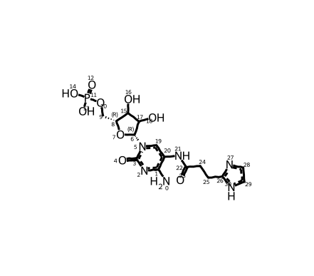 Nc1nc(=O)n([C@@H]2O[C@H](COP(=O)(O)O)C(O)C2O)cc1NC(=O)CCc1ncc[nH]1